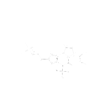 CNC(=O)[C@H]1CC(O)CN1C(=O)C(n1cc(CCNS(C)(=O)=O)nn1)C(C)(C)C